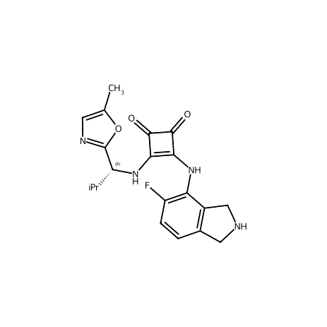 Cc1cnc([C@H](Nc2c(Nc3c(F)ccc4c3CNC4)c(=O)c2=O)C(C)C)o1